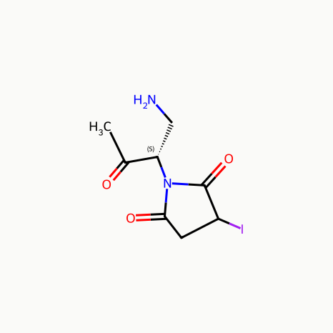 CC(=O)[C@H](CN)N1C(=O)CC(I)C1=O